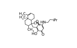 CC1=CCCC2C1(C)CCC(C)C2(C)CC1=C(O)C(=O)C=C(NCCC(C)C)C1=O